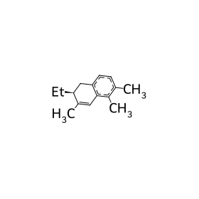 CC[C@H]1Cc2ccc(C)c(C)c2C=C1C